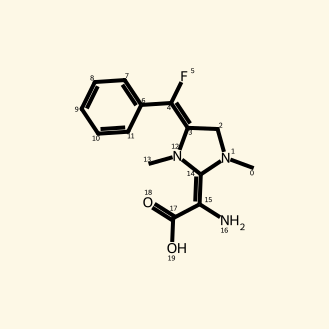 CN1CC(=C(F)c2ccccc2)N(C)C1=C(N)C(=O)O